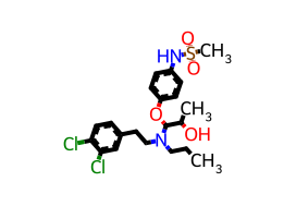 CCCN(CCc1ccc(Cl)c(Cl)c1)C(Oc1ccc(NS(C)(=O)=O)cc1)C(C)O